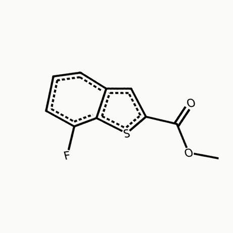 COC(=O)c1cc2cccc(F)c2s1